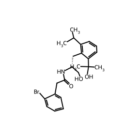 CC(C)c1cccc(C(C)(C)O)c1C[C@H](CO)NC(=O)Cc1ccccc1Br